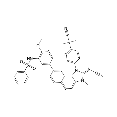 COc1ncc(-c2ccc3ncc4c(c3c2)n(-c2ccc(C(C)(C)C#N)nc2)c(=NC#N)n4C)cc1NS(=O)(=O)c1ccccc1